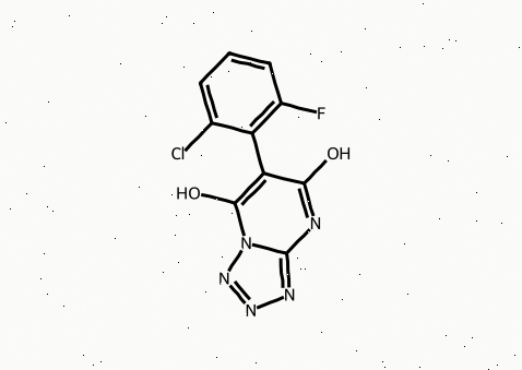 Oc1nc2nnnn2c(O)c1-c1c(F)cccc1Cl